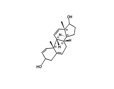 C[C@]12C=CC(O)CC1=CC[C@@H]1[C@H]2C=C[C@]2(C)C(O)CC[C@@H]12